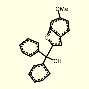 COc1ccc2cc(C(O)(c3ccccc3)c3ccccc3)oc2c1